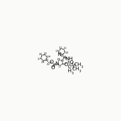 CC(C)(C)OC(=O)N[C@@H](c1ccccn1)C1CCN(C(=O)OCc2ccccc2)C1